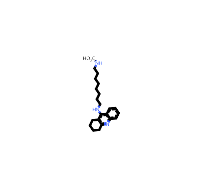 O=C(O)NCCCCCCCCNc1c2c(nc3ccccc13)CCCC2